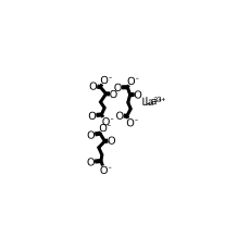 O=C([O-])CCC(=O)C(=O)[O-].O=C([O-])CCC(=O)C(=O)[O-].O=C([O-])CCC(=O)C(=O)[O-].[La+3].[La+3]